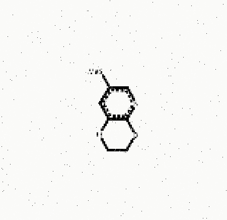 CSc1cnc2c(c1)OCCO2